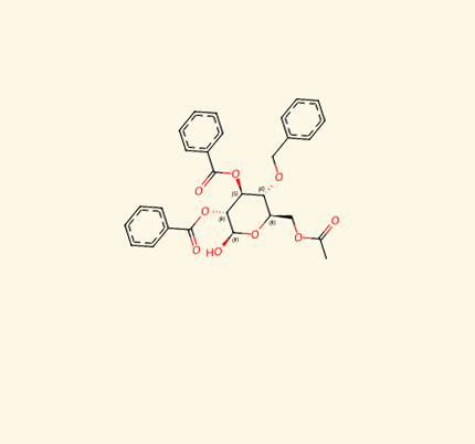 CC(=O)OC[C@H]1O[C@@H](O)[C@H](OC(=O)c2ccccc2)[C@@H](OC(=O)c2ccccc2)[C@@H]1OCc1ccccc1